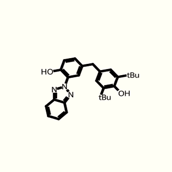 CC(C)(C)c1cc(Cc2ccc(O)c(-n3nc4ccccc4n3)c2)cc(C(C)(C)C)c1O